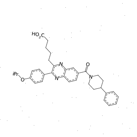 CC(C)Oc1ccc(-c2nc3ccc(C(=O)N4CCC(c5ccccc5)CC4)cc3nc2CCCCC(=O)O)cc1